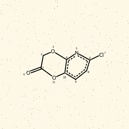 O=C1COc2nc(Cl)ccc2O1